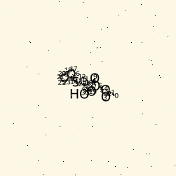 C=CC(=O)OCCOC(=O)C1C2CC(Sc3cccc4ccccc34)C(C2)C1C(=O)O